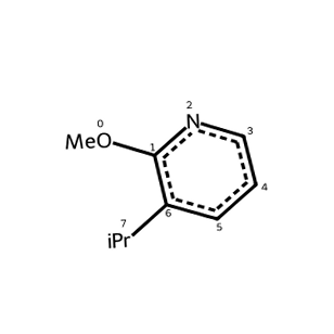 COc1ncccc1C(C)C